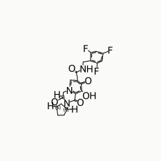 O=C(NCc1c(F)cc(F)cc1F)c1cn2c(c(O)c1=O)C(=O)N1[C@@H]3CC[C@@H](C3)O[C@H]1C2